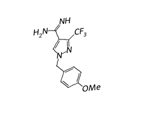 COc1ccc(Cn2cc(C(=N)N)c(C(F)(F)F)n2)cc1